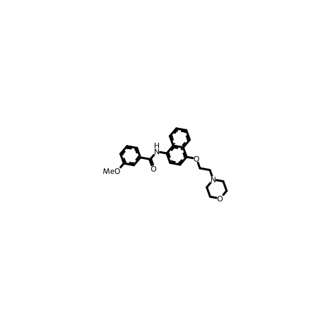 COc1cccc(C(=O)Nc2ccc(OCCN3CCOCC3)c3ccccc23)c1